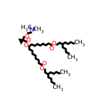 CCCCCC(CCCCC)CCOC(=O)CCCCCCCC(CCCCCCCC(=O)OCCC(CCCCC)CCCCC)OC(=O)C1(COCCN(C)C)CC1